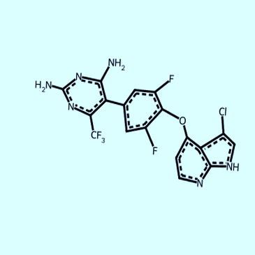 Nc1nc(N)c(-c2cc(F)c(Oc3ccnc4[nH]cc(Cl)c34)c(F)c2)c(C(F)(F)F)n1